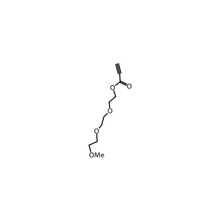 C#CC(=O)OCCOCCOCCOC